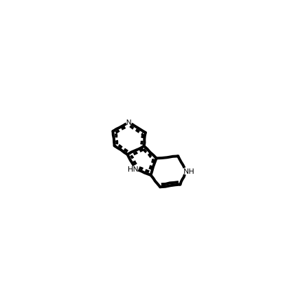 C1=Cc2[nH]c3ccncc3c2CN1